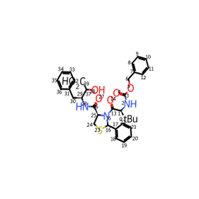 CC(C)(C)[C@H](NC(=O)OCc1ccccc1)C(=O)N1C(c2ccccc2)SC[C@H]1C(=O)N[C@@H](Cc1ccccc1)C(O)C(=O)O